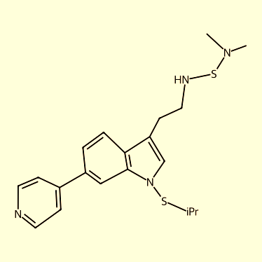 CC(C)Sn1cc(CCNSN(C)C)c2ccc(-c3ccncc3)cc21